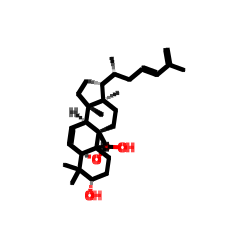 C=C(C)/C=C/C[C@@H](C)[C@H]1CC[C@@]2(C)[C@@H]3C=C[C@@]45OC(O)[C@]3(CC[C@]12C)[C@@H]4CC[C@H](O)C5(C)C